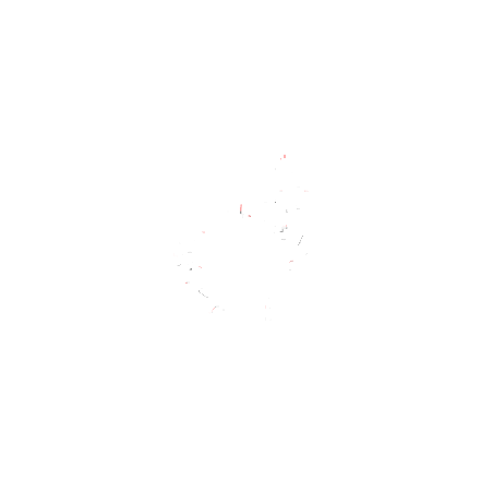 C=C1C(C)CC2CCC3OC(CCC(=O)/C=C/C(O)[C@@H]4OC5CCC(CC(=O)OC6[C@@H](C)C7OC(CCO)C(O)CC7O[C@H]6CC1O2)OC5C(O)[C@@H]4O)CC3(C)C